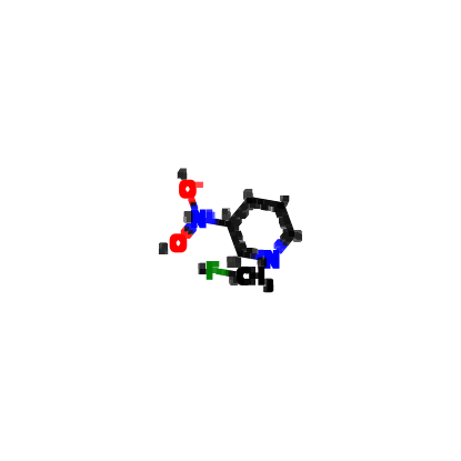 CF.O=[N+]([O-])c1cccnc1